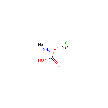 N.O=C([O-])O.[Cl-].[Na+].[Na+]